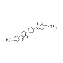 CCCCC1CCC(/C=C/C2CCC(c3ccc(-c4ccc(CC)cc4)c(F)c3F)CC2)C(F)=C1F